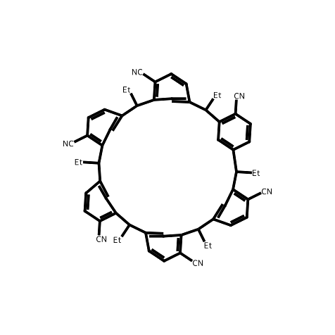 CCC1c2ccc(C#N)c(c2)C(CC)c2ccc(C#N)c(c2)C(CC)c2ccc(C#N)c(c2)C(CC)c2ccc(C#N)c(c2)C(CC)c2ccc(C#N)c(c2)C(CC)c2ccc(C#N)c1c2